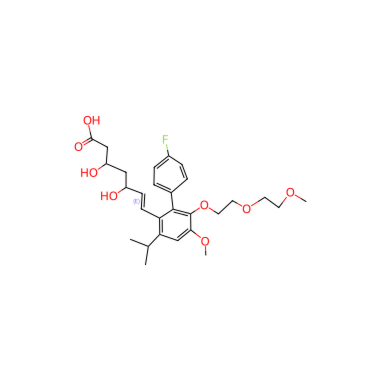 COCCOCCOc1c(OC)cc(C(C)C)c(/C=C/C(O)CC(O)CC(=O)O)c1-c1ccc(F)cc1